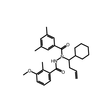 C=CCC(C1CCCCC1)N(NC(=O)c1cccc(OC)c1C)C(=O)c1cc(C)cc(C)c1